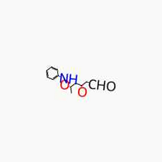 CC(CC(=O)CC=O)ONc1ccccc1